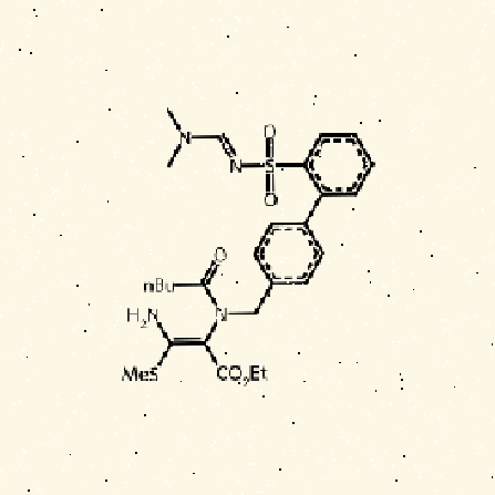 CCCCC(=O)N(Cc1ccc(-c2ccccc2S(=O)(=O)/N=C/N(C)C)cc1)/C(C(=O)OCC)=C(\N)SC